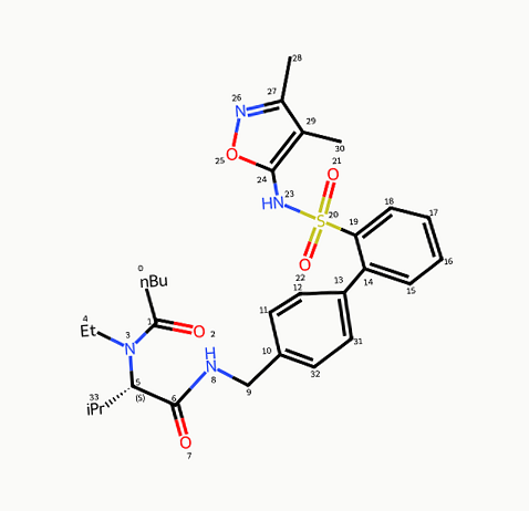 CCCCC(=O)N(CC)[C@H](C(=O)NCc1ccc(-c2ccccc2S(=O)(=O)Nc2onc(C)c2C)cc1)C(C)C